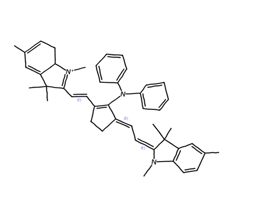 CC1=CCC2C(=C1)C(C)(C)C(/C=C/C1=C(N(c3ccccc3)c3ccccc3)C(=C/C=C3/N(C)c4ccc(C)cc4C3(C)C)/CC1)=[N+]2C